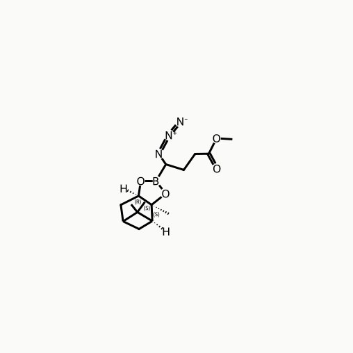 COC(=O)CCC(N=[N+]=[N-])B1O[C@@H]2CC3C[C@@H](C3(C)C)[C@]2(C)O1